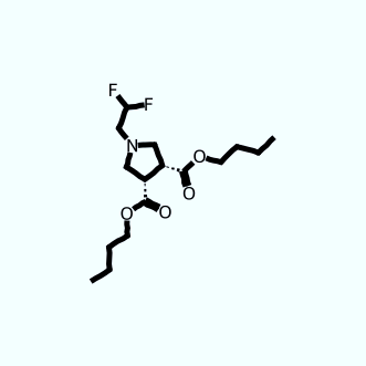 CCCCOC(=O)[C@H]1CN(CC(F)F)C[C@H]1C(=O)OCCCC